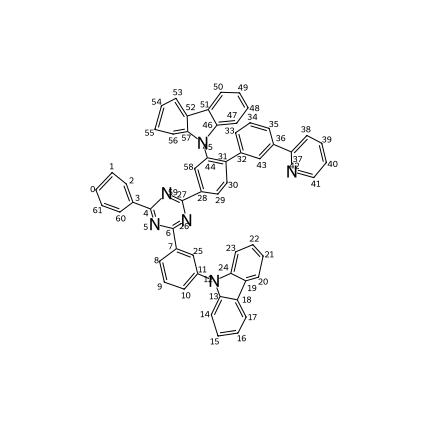 c1ccc(-c2nc(-c3cccc(-n4c5ccccc5c5ccccc54)c3)nc(-c3ccc(-c4cccc(-c5ccccn5)c4)c(-n4c5ccccc5c5ccccc54)c3)n2)cc1